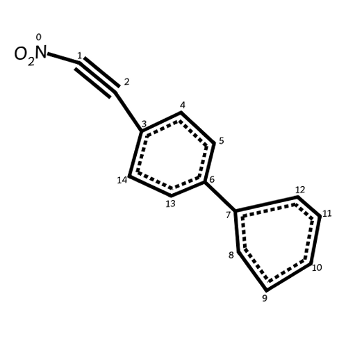 O=[N+]([O-])C#Cc1ccc(-c2ccccc2)cc1